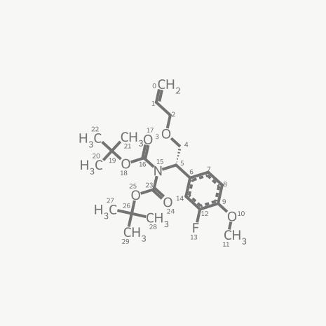 C=CCOC[C@H](c1ccc(OC)c(F)c1)N(C(=O)OC(C)(C)C)C(=O)OC(C)(C)C